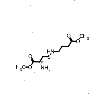 COC(=O)CCCNSC[C@H](N)C(=O)OC